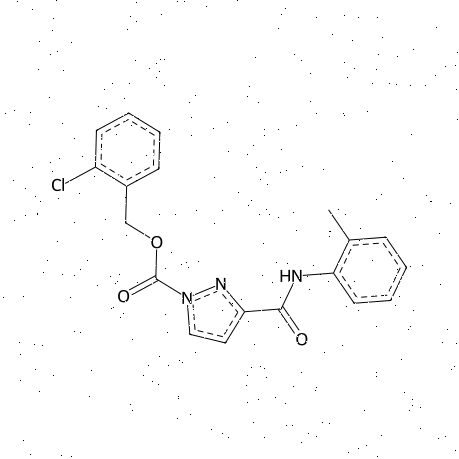 Cc1ccccc1NC(=O)c1ccn(C(=O)OCc2ccccc2Cl)n1